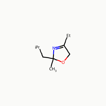 CCC1=NC(C)(CC(C)C)OC1